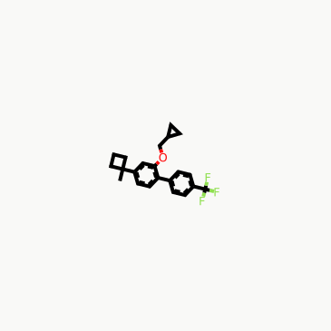 CC1(c2ccc(-c3ccc(C(F)(F)F)cc3)c(OCC3CC3)c2)CCC1